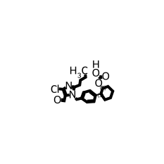 CCCCc1nc(Cl)c(C=O)n1Cc1ccc([C@@H]2CCCC[C@H]2OC(=O)O)cc1